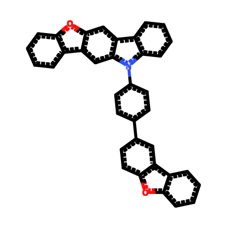 c1ccc2c(c1)oc1ccc(-c3ccc(-n4c5ccccc5c5cc6oc7ccccc7c6cc54)cc3)cc12